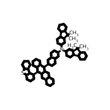 CC1(C)c2ccccc2-c2ccc(N(c3ccc4c(c3)C(C)(C)c3ccccc3-4)c3ccc4cc(-c5c6ccccc6c(-c6cccc7sc8ccccc8c67)c6cc7ccccc7cc56)ccc4c3)cc21